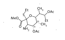 CCSC1(C(=O)OC)OC(C(C)C(CC)OC(C)=O)[C@H](C)[C@H](OC(C)=O)C1N